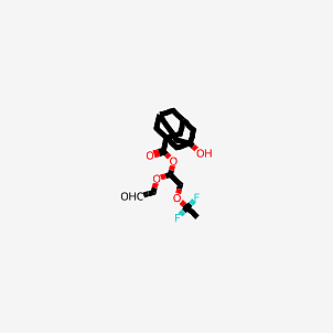 CC(F)(F)OCC(OCC=O)OC(=O)C12CC3CC(CC(O)(C3)C1)C2